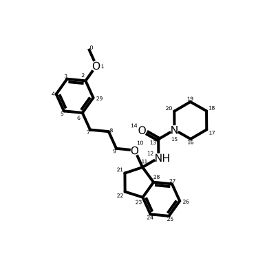 COc1cccc(CCCOC2(NC(=O)N3CCCCC3)CCc3ccccc32)c1